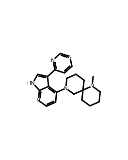 CN1CCCCC12CCCN(c1ccnc3[nH]cc(-c4ccncn4)c13)C2